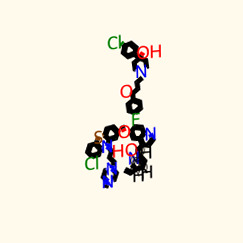 C=C[C@H]1C[N@]2CC[C@H]1C[C@@H]2[C@@H](O)c1ccnc2ccc(OC)cc12.CN1CCN(CCCN2c3ccccc3Sc3ccc(Cl)cc32)CC1.O=C(CCCN1CCC(O)(c2ccc(Cl)cc2)CC1)c1ccc(F)cc1